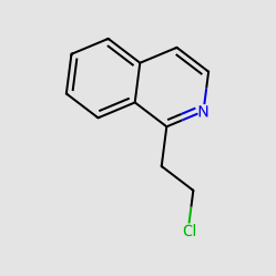 ClCCc1nccc2ccccc12